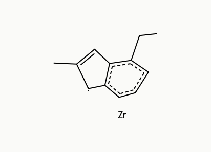 CCc1cccc2c1C=C(C)[CH]2.[Zr]